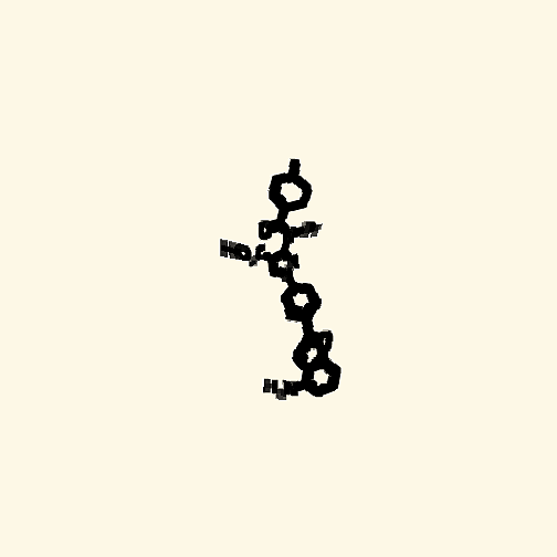 CC1CCC(C(=O)N(c2nn(-c3ccc(-c4cc5c(N)cccc5o4)cc3)cc2C(=O)O)C(C)C)CC1